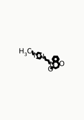 CCCN1CCN(CCCCN2C(=O)CCC(=O)c3ccccc32)CC1